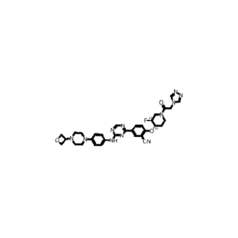 N#Cc1cc(-c2ncnc(Nc3ccc(N4CCN(C5COC5)CC4)cc3)n2)ccc1O[C@H]1CCN(C(=O)Cn2cnnc2)C[C@@H]1F